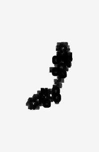 COc1cc2c(cc1OCCCCCOc1cc3c(cc1OC)C(=O)N1Cc4ccccc4C[C@H]1C=N3)N=CC1Cc3ccccc3CN1C2=O